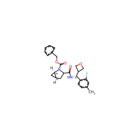 Cc1ccc([C@H](NC(=O)C2C[C@H]3C[C@H]3N2C(=O)OCc2ccccc2)C2COC2)c(F)c1